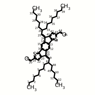 CCCCCCCCC(C=C1c2cc3c(cc2-c2sc(C=O)cc21)C(=CC(CCCCCC)CCCCCCCC)c1cc(C=O)sc1-3)CCCCCC